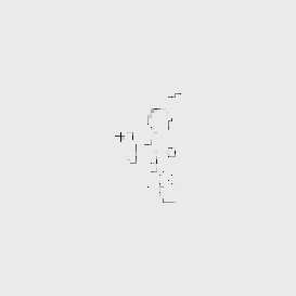 C=Cc1ccc(C(C(=O)O)C(=O)OC2CC3CCC2(C)C3(C)C)cc1